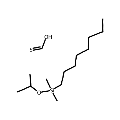 CCCCCCCC[Si](C)(C)OC(C)C.OC=S